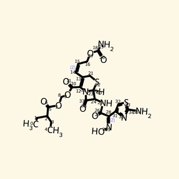 CCC(CC)C(=O)OCOC(=O)C1=C(/C=C\COC(N)=O)CS[C@@H]2C(NC(=O)/C(=N\O)c3csc(N)n3)C(=O)N12